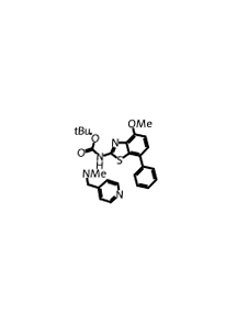 CNCc1ccncc1.COc1ccc(-c2ccccc2)c2sc(NC(=O)OC(C)(C)C)nc12